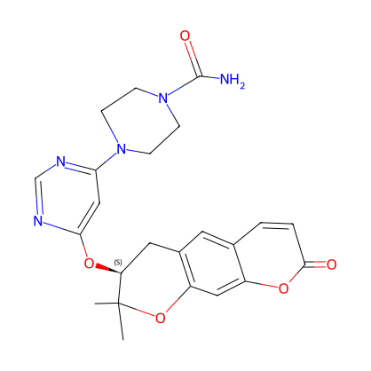 CC1(C)Oc2cc3oc(=O)ccc3cc2C[C@@H]1Oc1cc(N2CCN(C(N)=O)CC2)ncn1